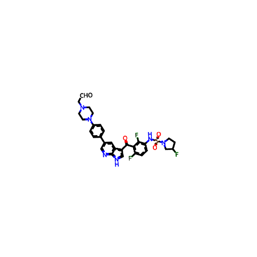 O=CCN1CCN(c2ccc(-c3cnc4[nH]cc(C(=O)c5c(F)ccc(NS(=O)(=O)N6CCC(F)C6)c5F)c4c3)cc2)CC1